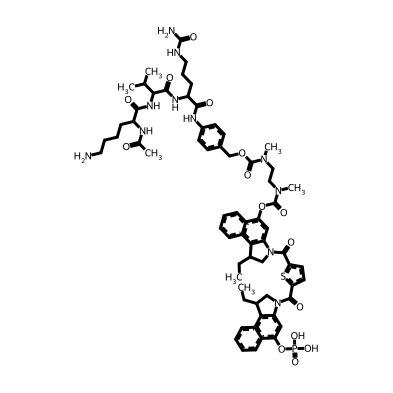 CCC1CN(C(=O)c2ccc(C(=O)N3CC(CC)c4c3cc(OP(=O)(O)O)c3ccccc43)s2)c2cc(OC(=O)N(C)CCN(C)C(=O)OCc3ccc(NC(=O)C(CCCNC(N)=O)NC(=O)C(NC(=O)C(CCCCN)NC(C)=O)C(C)C)cc3)c3ccccc3c21